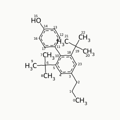 CCCc1cc(C(C)(C)C)c(-c2ccc(O)cc2)c(C(C)(C)C)c1